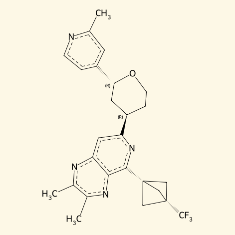 Cc1cc([C@H]2C[C@H](c3cc4nc(C)c(C)nc4c([C@]45C[C@](C(F)(F)F)(C4)C5)n3)CCO2)ccn1